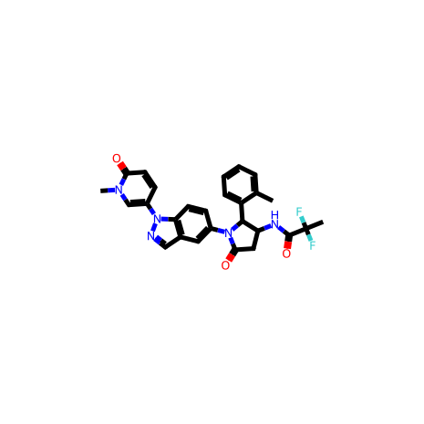 Cc1ccccc1C1C(NC(=O)C(C)(F)F)CC(=O)N1c1ccc2c(cnn2-c2ccc(=O)n(C)c2)c1